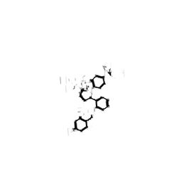 CN(C)c1ccc(N2C(c3ccccc3OCc3ccc(F)cc3F)C=CC2(C)Br)c(C(=O)O)c1